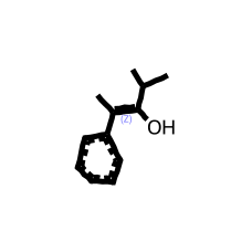 C/C(=C(/O)C(C)C)c1ccccc1